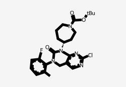 Cc1cccc(F)c1N1Cc2cnc(Cl)nc2N([C@@H]2CCCN(C(=O)OC(C)(C)C)CC2)C1=O